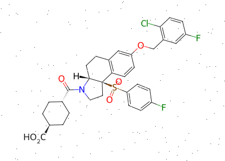 O=C(O)[C@H]1CC[C@H](C(=O)N2CC[C@@]3(S(=O)(=O)c4ccc(F)cc4)c4ccc(OCc5cc(F)ccc5Cl)cc4CC[C@@H]23)CC1